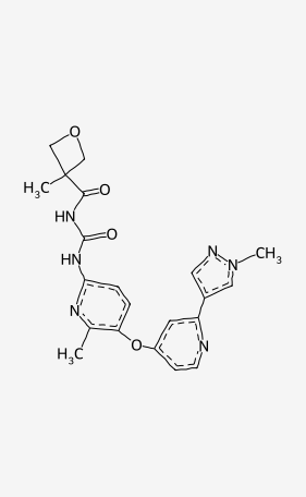 Cc1nc(NC(=O)NC(=O)C2(C)COC2)ccc1Oc1ccnc(-c2cnn(C)c2)c1